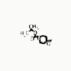 CC(C)OC(=O)N1CCC2(CC1)CO2